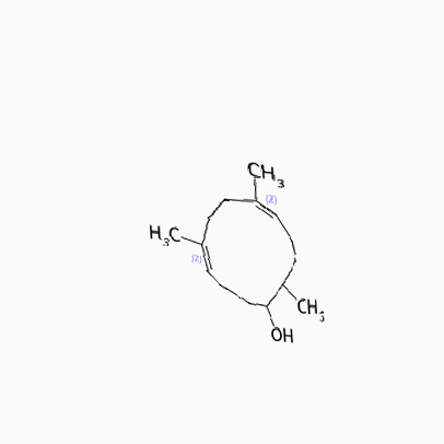 C/C1=C/CCC(C)C(O)CC/C=C(/C)CC1